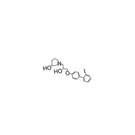 OC1CCCN(CC(O)COc2ccc(-c3ccccc3I)cc2)C1